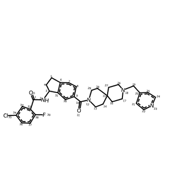 O=C(NC1CCc2ccc(C(=O)N3CCC4(CCN(Cc5ccncc5)CC4)CC3)cc21)c1cc(Cl)ccc1F